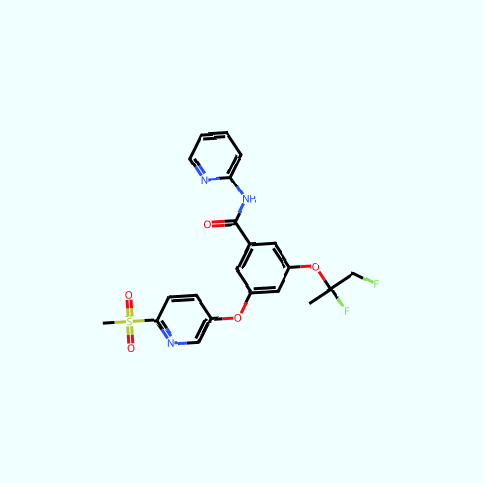 CC(F)(CF)Oc1cc(Oc2ccc(S(C)(=O)=O)nc2)cc(C(=O)Nc2ccccn2)c1